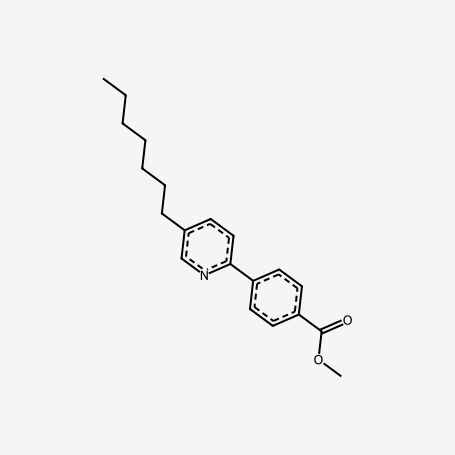 CCCCCCCc1ccc(-c2ccc(C(=O)OC)cc2)nc1